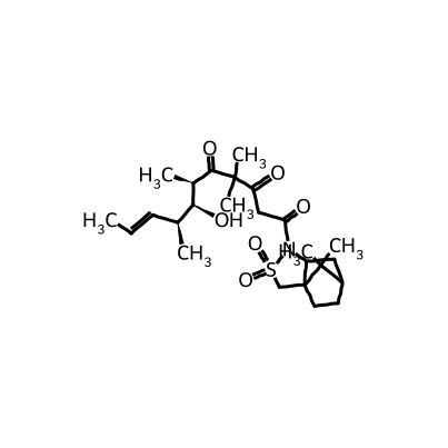 C/C=C/[C@H](C)[C@H](O)[C@@H](C)C(=O)C(C)(C)C(=O)CC(=O)N1C2CC3CCC2(CS1(=O)=O)C3(C)C